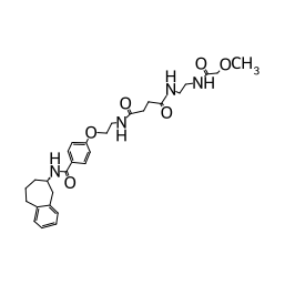 COCC(=O)NCCNC(=O)CCC(=O)NCCOc1ccc(C(=O)N[C@@H]2CCCc3ccccc3C2)cc1